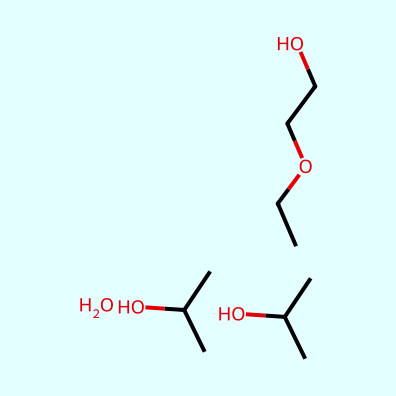 CC(C)O.CC(C)O.CCOCCO.O